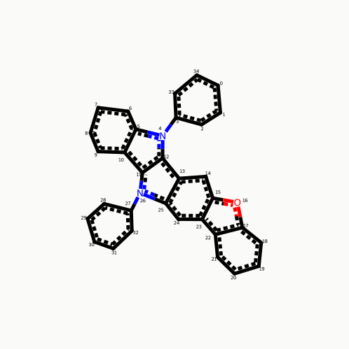 c1ccc(-n2c3ccccc3c3c2c2cc4oc5ccccc5c4cc2n3-c2ccccc2)cc1